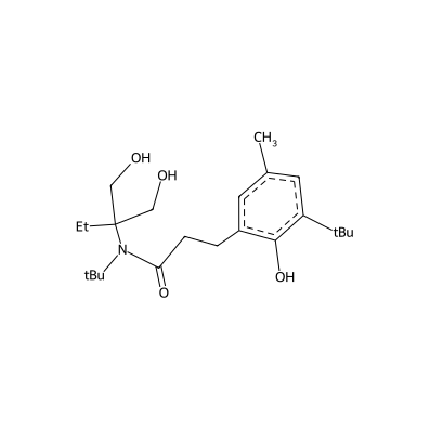 CCC(CO)(CO)N(C(=O)CCc1cc(C)cc(C(C)(C)C)c1O)C(C)(C)C